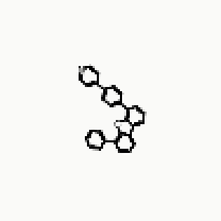 c1ccc(-c2cccc3c2oc2c(-c4ccc(-c5ccncc5)cc4)cccc23)cc1